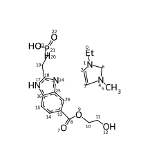 CCN1C=CN(C)C1.O=C(OCCO)c1ccc2[nH]c(CC[PH](=O)O)nc2c1